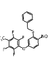 O=[N+]([O-])c1ccc(Oc2c(F)c(F)c(C(F)(F)F)c(F)c2F)cc1SCc1ccccc1